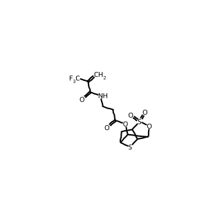 C=C(C(=O)NCCC(=O)OC1C2CC3C(S2)C1OS3(=O)=O)C(F)(F)F